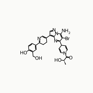 C[C@@H](O)C(=O)N1C=CC(c2nc3c(C4=CN=C(c5ccc(O)c(CO)c5)CC4)cnn3c(N)c2Br)C=C1